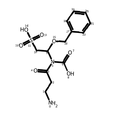 NCCC(=O)N(C(=O)O)C(CS(=O)(=O)O)OCc1ccccc1